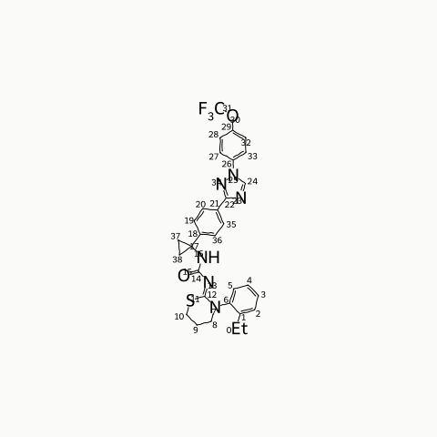 CCc1ccccc1N1CCCS/C1=N\C(=O)NC1(c2ccc(-c3ncn(-c4ccc(OC(F)(F)F)cc4)n3)cc2)CC1